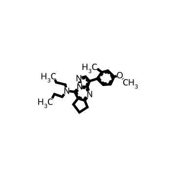 CCCN(CCC)c1c2c(nc3c(-c4ccc(OC)cc4C)cnn13)CCC2